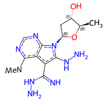 CNc1ncnc2c1c(C(=N)NN)c(NN)n2[C@H]1C[C@H](O)[C@@H](C)O1